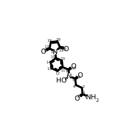 NC(=O)CCC(=O)N(O)C(=O)c1cccc(N2C(=O)C=CC2=O)c1